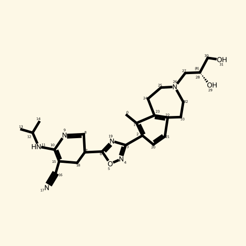 Cc1c(-c2noc(C3C=NC(NC(C)C)=C(C#N)C3)n2)ccc2c1CCN(C[C@@H](O)CO)CC2